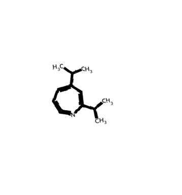 CC(C)C1=CC=C=NC(C(C)C)=C1